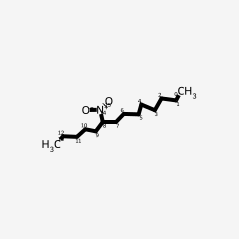 CCCCCCCCC(CCCCC)[N+](=O)[O-]